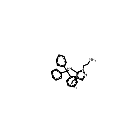 NCCn1ncc(CN)c1NC(c1ccccc1)(c1ccccc1)c1ccccc1